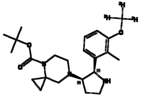 [2H]C([2H])([2H])Oc1cccc([C@H]2NCC[C@H]2N2CCN(C(=O)OC(C)(C)C)C3(CC3)C2)c1C